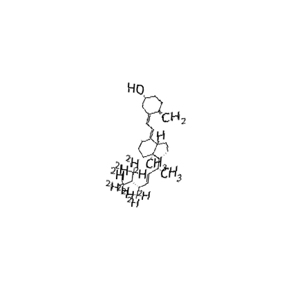 [2H]C([2H])([2H])C([C@H](/C=C/[C@@H](C)[C@H]1CC[C@H]2/C(=C/C=C3/C[C@@H](O)CCC3=C)CCC[C@]12C)C([2H])([2H])[2H])C([2H])([2H])[2H]